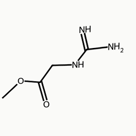 COC(=O)CNC(=N)N